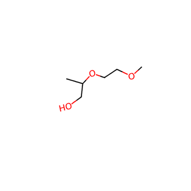 COCCOC(C)CO